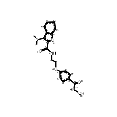 CN(C)c1c(C(=O)NCCOc2ccc(C(=O)NO)cc2)oc2ccccc12